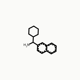 NC(c1ccc2ccccc2c1)C1CCCCC1